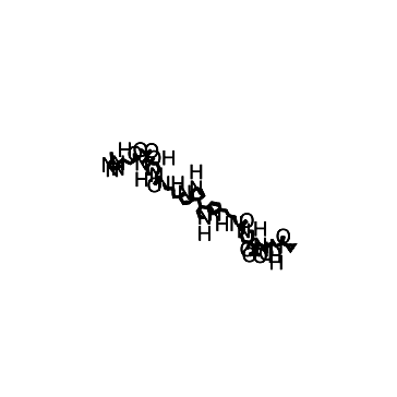 Cc1nnnn1CCC(=O)NC(C(=O)O)C1(O)CCN(C(=O)NCCCc2ccc3c(n2)NCCC3C2CCNc3nc(CCCNC(=O)N4CCC(O)(C(NC(=O)CNC(=O)C5CC5)C(=O)O)CC4)ccc32)CC1